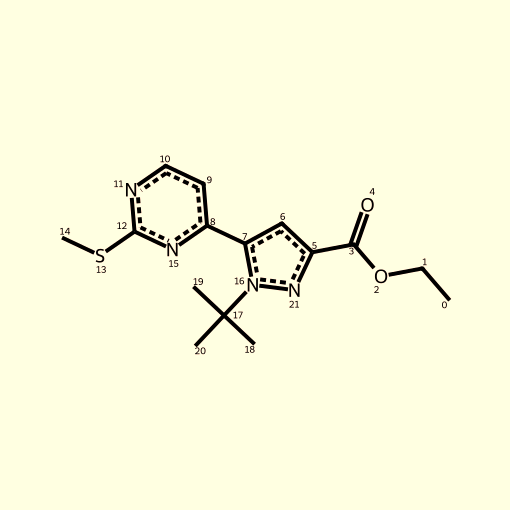 CCOC(=O)c1cc(-c2ccnc(SC)n2)n(C(C)(C)C)n1